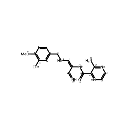 COc1ccc(CN/C=C(\C=N)NC(=O)c2nccnc2N)cc1Cl